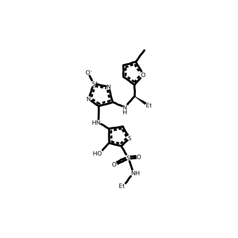 CCNS(=O)(=O)c1scc(Nc2n[s+]([O-])nc2N[C@H](CC)c2ccc(C)o2)c1O